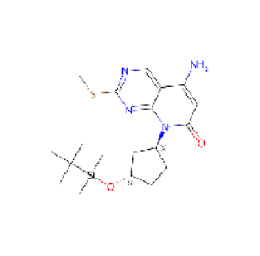 CSc1ncc2c(N)cc(=O)n([C@H]3CC[C@H](O[Si](C)(C)C(C)(C)C)C3)c2n1